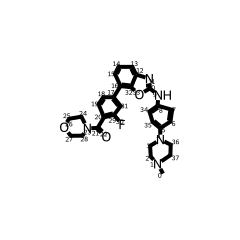 CN1CCN(c2ccc(Nc3nc4cccc(-c5ccc(C(=O)N6CCOCC6)c(F)c5)c4o3)cc2)CC1